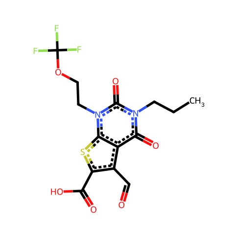 CCCn1c(=O)c2c(C=O)c(C(=O)O)sc2n(CCOC(F)(F)F)c1=O